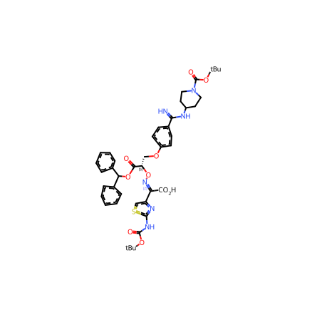 CC(C)(C)OC(=O)Nc1nc(/C(=N/O[C@@H](COc2ccc(C(=N)NC3CCN(C(=O)OC(C)(C)C)CC3)cc2)C(=O)OC(c2ccccc2)c2ccccc2)C(=O)O)cs1